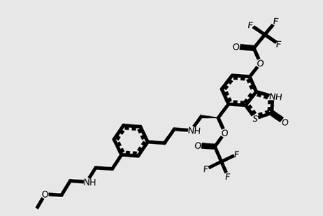 COCCNCCc1cccc(CCNC[C@H](OC(=O)C(F)(F)F)c2ccc(OC(=O)C(F)(F)F)c3[nH]c(=O)sc23)c1